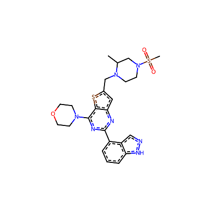 CC1CN(S(C)(=O)=O)CCN1Cc1cc2nc(-c3cccc4[nH]ncc34)nc(N3CCOCC3)c2s1